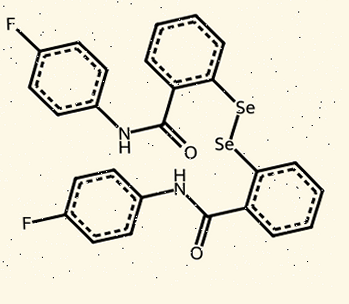 O=C(Nc1ccc(F)cc1)c1ccccc1[Se][Se]c1ccccc1C(=O)Nc1ccc(F)cc1